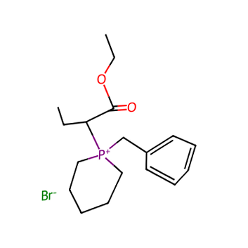 CCOC(=O)C(CC)[P+]1(Cc2ccccc2)CCCCC1.[Br-]